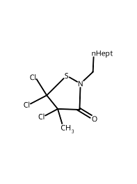 CCCCCCCCN1SC(Cl)(Cl)C(C)(Cl)C1=O